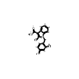 O=C(O)c1c(Cl)n(Cc2ccc(Cl)cc2Cl)c2ccccc12